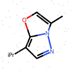 Cc1coc2c(C(C)C)cnn12